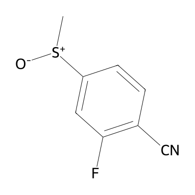 C[S+]([O-])c1ccc(C#N)c(F)c1